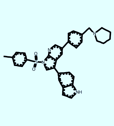 Cc1ccc(S(=O)(=O)n2cc(-c3ccc4[nH]ccc4c3)c3cc(-c4ccc(CN5CCCCC5)cc4)cnc32)cc1